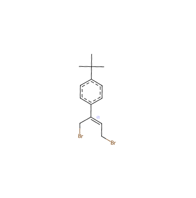 CC(C)(C)c1ccc(/C(=C/CBr)CBr)cc1